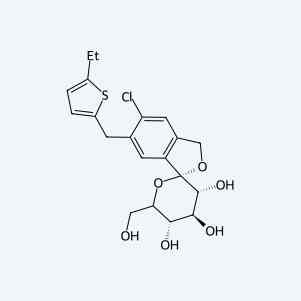 CCc1ccc(Cc2cc3c(cc2Cl)CO[C@]32OC(CO)[C@@H](O)[C@H](O)[C@H]2O)s1